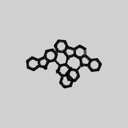 c1ccc(-n2c3ccccc3c3ccc4c5ccccc5n(-c5nc6ccccc6nc5-c5cccc6c5oc5ccccc56)c4c32)cc1